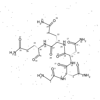 NCC(=O)N[C@@H](CC(N)=O)C(=O)N[C@@H](CC(N)=O)C(=O)N[C@@H](CCC(N)=O)C(=O)N[C@H](C=O)CCC(N)=O